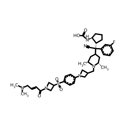 C[C@@H]1CC(C(C#N)(c2cccc(F)c2)[C@H]2CCC[C@@H]2NC(=O)O)C[C@H](C)N1CC1CN(c2ccc(S(=O)(=O)C3CN(C(=O)/C=C/CN(C)C)C3)cc2)C1